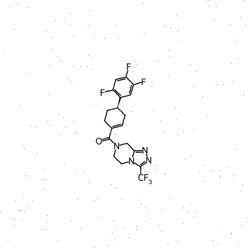 O=C(C1=CC[C@H](c2cc(F)c(F)cc2F)CC1)N1CCn2c(nnc2C(F)(F)F)C1